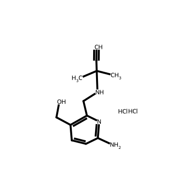 C#CC(C)(C)NCc1nc(N)ccc1CO.Cl.Cl